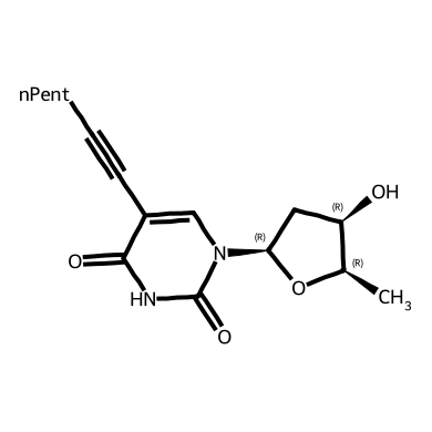 CCCCCC#Cc1cn([C@H]2C[C@@H](O)[C@@H](C)O2)c(=O)[nH]c1=O